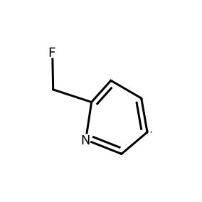 FCc1cc[c]cn1